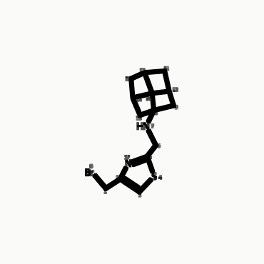 BrCc1csc(CNC23CC4CC5CC(C2)C543)n1